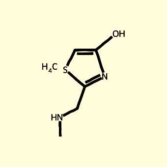 C.CNCc1nc(O)cs1